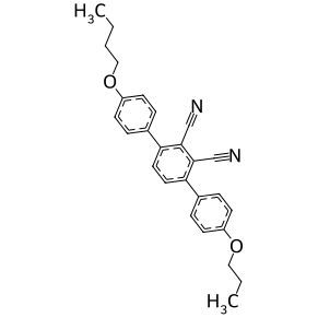 CCCCOc1ccc(-c2ccc(-c3ccc(OCCC)cc3)c(C#N)c2C#N)cc1